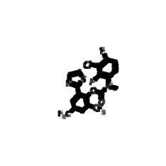 CN(C(=O)Oc1c(-c2nccs2)cc(C(F)(F)F)cc1C(F)(F)F)c1ccc(F)c(Cl)c1F